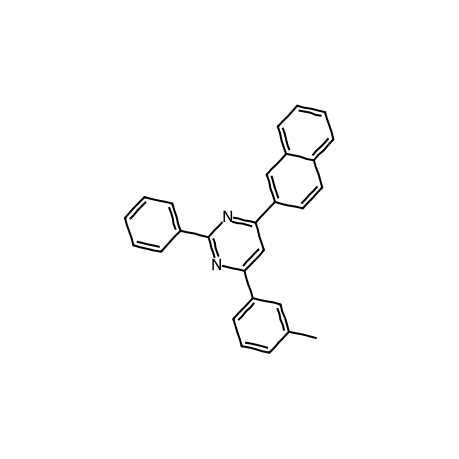 Cc1cccc(-c2cc(-c3ccc4ccccc4c3)nc(-c3ccccc3)n2)c1